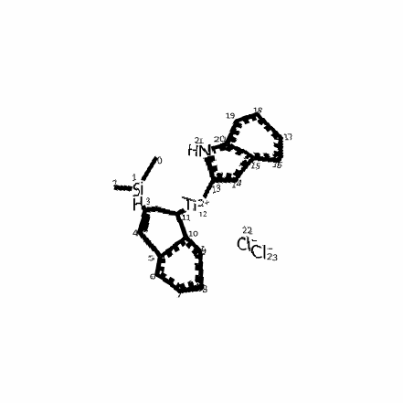 C[SiH](C)C1=Cc2ccccc2[CH]1[Ti+2][c]1cc2ccccc2[nH]1.[Cl-].[Cl-]